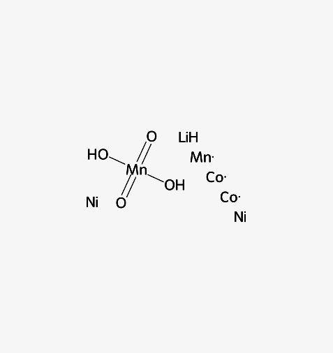 [Co].[Co].[LiH].[Mn].[Ni].[Ni].[O]=[Mn](=[O])([OH])[OH]